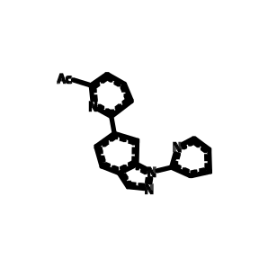 CC(=O)c1cccc(-c2ccc3cnn(-c4ccccn4)c3c2)n1